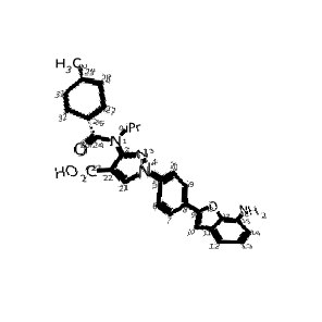 CC(C)N(c1nn(-c2ccc(-c3cc4cccc(N)c4o3)cc2)cc1C(=O)O)C(=O)[C@H]1CC[C@H](C)CC1